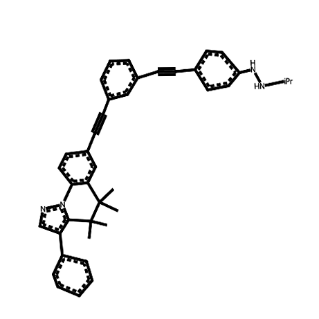 CC(C)NNc1ccc(C#Cc2cccc(C#Cc3ccc4c(c3)C(C)(C)C(C)(C)c3c(-c5ccccc5)cnn3-4)c2)cc1